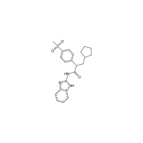 CS(=O)(=O)c1ccc(C(CC2CCCC2)C(=O)Nc2nc3ccccc3[nH]2)cc1